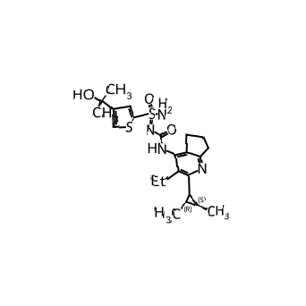 CCc1c(C2[C@@H](C)[C@H]2C)nc2c(c1NC(=O)N=S(N)(=O)c1cc(C(C)(C)O)cs1)CCC2